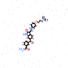 CCN(CC)CCCOc1ccc(NC=C2C(=O)Nc3cc(C(=O)c4cccc(C(N)=O)c4)ccc32)cc1